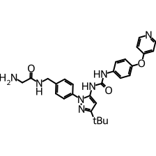 CC(C)(C)c1cc(NC(=O)Nc2ccc(Oc3ccncc3)cc2)n(-c2ccc(CNC(=O)CN)cc2)n1